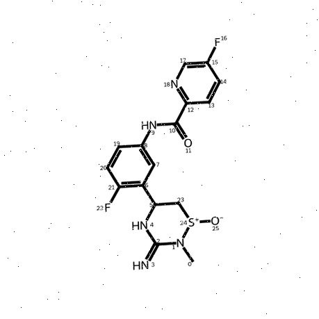 CN1C(=N)NC(c2cc(NC(=O)c3ccc(F)cn3)ccc2F)C[S+]1[O-]